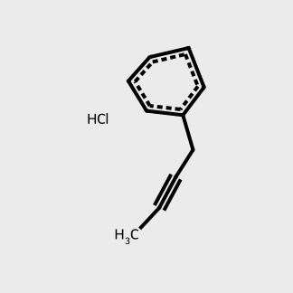 CC#CCc1ccccc1.Cl